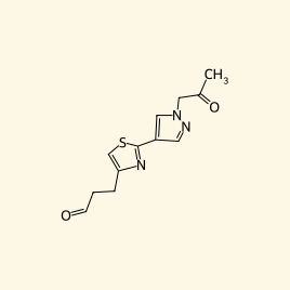 CC(=O)Cn1cc(-c2nc(CCC=O)cs2)cn1